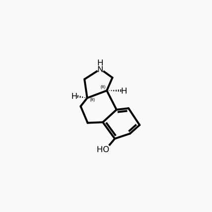 Oc1cccc2c1CC[C@H]1CNC[C@@H]21